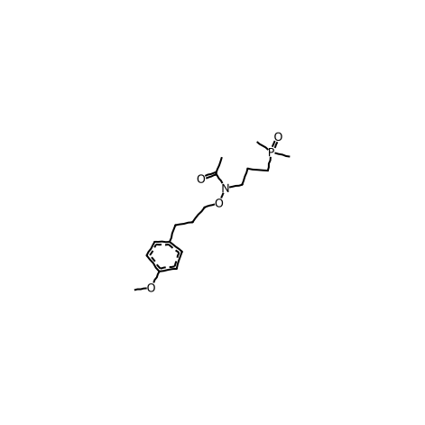 COc1ccc(CCCON(CCCP(C)(C)=O)C(C)=O)cc1